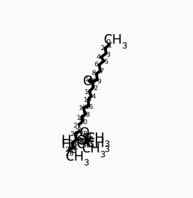 CCCCCCCCCCC(=O)CCCCCCCC=CC[C@@H](CCCCCC)O[Si](C)(C)C(C)(C)C